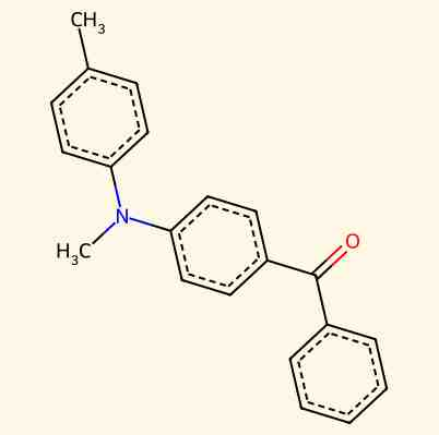 Cc1ccc(N(C)c2ccc(C(=O)c3ccccc3)cc2)cc1